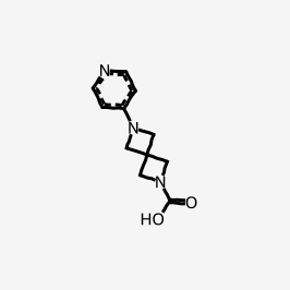 O=C(O)N1CC2(C1)CN(c1ccncc1)C2